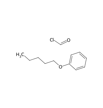 CCCCCOc1ccccc1.O=CCl